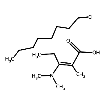 CC/C(=C(/C)C(=O)O)N(C)C.CCCCCCCCCl